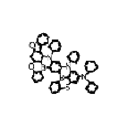 c1ccc(N(c2ccccc2)c2cc3c4c(c2)N(c2ccccc2)c2cc5c(cc2B4c2ccccc2S3)B2c3ccccc3Oc3cc4oc6ccccc6c4c(c32)N5c2ccccc2)cc1